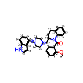 COc1ccccc1C(=O)N1c2ccccc2CCC1CN1CCN(c2cccc3[nH]ccc23)CC1